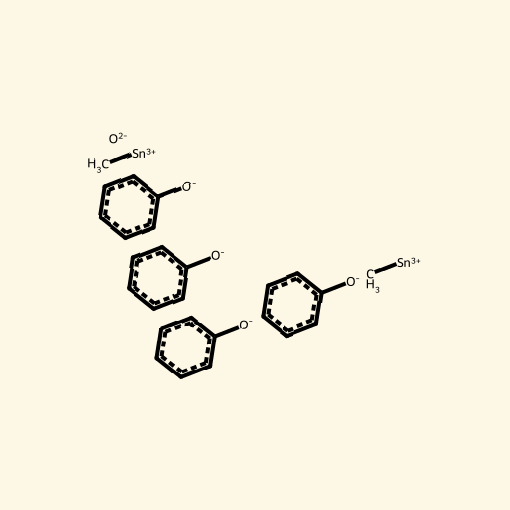 [CH3][Sn+3].[CH3][Sn+3].[O-2].[O-]c1ccccc1.[O-]c1ccccc1.[O-]c1ccccc1.[O-]c1ccccc1